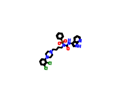 O=C(Nc1c[nH]c2ncccc12)N(CCCCN1CCN(c2cccc(Cl)c2Cl)CC1)S(=O)(=O)c1ccccc1